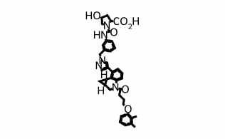 Cc1cccc(OCCCC(=O)N2C[C@@H]3C[C@@H]3c3c(-c4cnn(Cc5cccc(NC(=O)N6C[C@H](O)CC6C(=O)O)c5)c4)cccc32)c1C